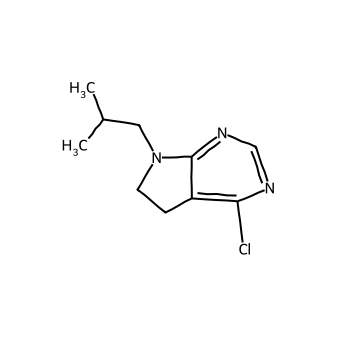 CC(C)CN1CCc2c(Cl)ncnc21